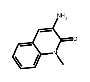 Cn1c(=O)c(N)cc2ccccc21